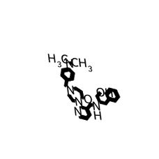 CN(C)c1ccc(CN2CCCN(c3ncccc3C(=O)NC(CO)Cc3ccccc3)CC2)cc1